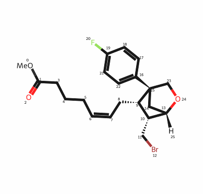 COC(=O)CCC/C=C\C[C@H]1[C@@H](CBr)[C@@H]2C[C@@]1(c1ccc(F)cc1)CO2